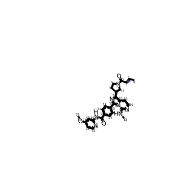 C/C=C/C(=O)N1CCC(c2nc(-c3ccc(C(=O)Nc4cc(OC)ccn4)cc3)n3c(NC)nccc23)C1